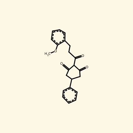 COc1ccccc1CCC(=O)C1C(=O)CC(c2ccccc2)CC1=O